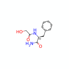 NC(=O)[C@H](Cc1ccccc1)NC(=O)CO